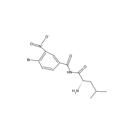 CC(C)C[C@H](N)C(=O)NC(=O)c1ccc(Br)c([N+](=O)[O-])c1